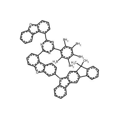 Bc1c(B)c(B)c(-c2nc(-c3cccc4oc5ccccc5c34)nc(-c3cccc4oc5cc(-n6c7ccccc7c7cc8c(cc76)C(C)(C)c6ccccc6-8)ccc5c34)n2)c(B)c1B